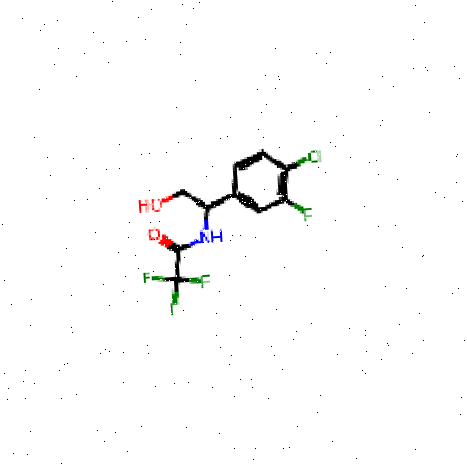 O=C(NC(CO)c1ccc(Cl)c(F)c1)C(F)(F)F